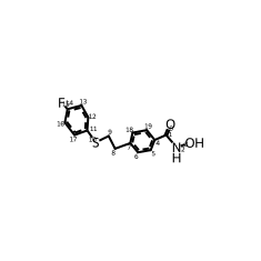 O=C(NO)c1ccc(CCSc2ccc(F)cc2)cc1